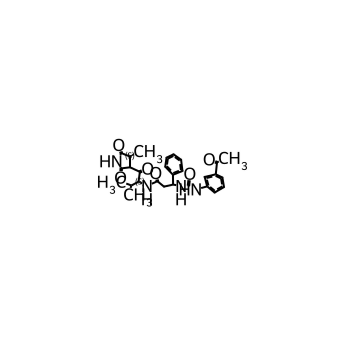 CC(=O)c1cccc(NC(=O)NC(CC(=O)N[C@H](C(=O)C2C(=O)NC(=O)[C@H]2C)C(C)C)c2ccccc2)c1